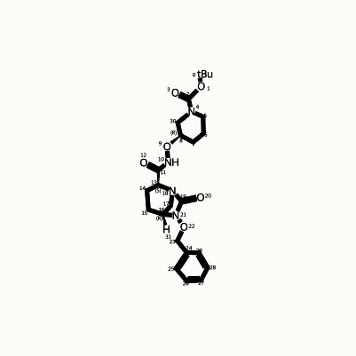 CC(C)(C)OC(=O)N1CCC[C@@H](ONC(=O)[C@@H]2CC[C@@H]3CN2C(=O)N3OCc2ccccc2)C1